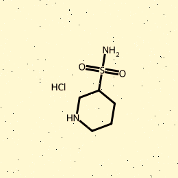 Cl.NS(=O)(=O)C1CCCNC1